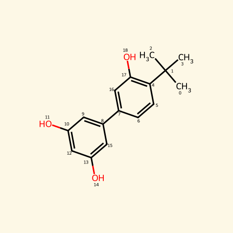 CC(C)(C)c1ccc(-c2cc(O)cc(O)c2)cc1O